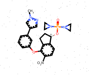 Cn1cc(-c2cccc(Oc3c([N+](=O)[O-])ccc4c3CC[C@@H]4OP(=O)(N3CC3)N3CC3)c2)cn1